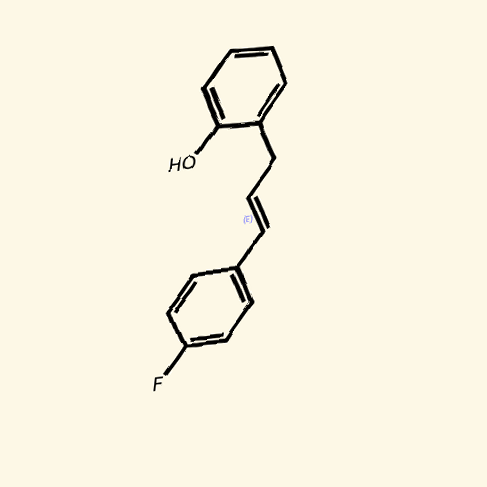 Oc1ccccc1C/C=C/c1ccc(F)cc1